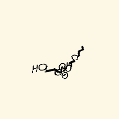 CCCCOCCOP(=O)(O)OCCO